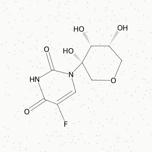 O=c1[nH]c(=O)n([C@]2(O)COC[C@@H](O)[C@H]2O)cc1F